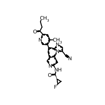 CCCC(=O)c1cc(C)c(-c2cc3cnc(NC(=O)[C@H]4C[C@H]4F)cc3n3c(C#N)cnc23)cn1